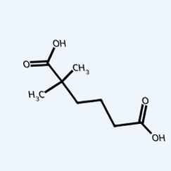 CC(C)(CCCC(=O)O)C(=O)O